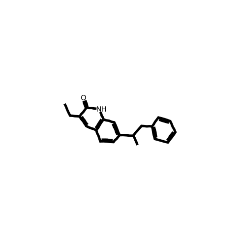 CCc1cc2ccc(C(C)Cc3ccccc3)cc2[nH]c1=O